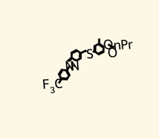 CCCC(=O)Oc1ccc(SCc2ccc3cn(-c4ccc(C(F)(F)F)cc4)nc3c2)cc1C